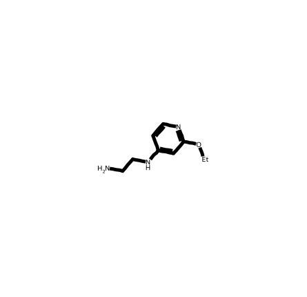 CCOc1cc(NCCN)ccn1